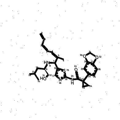 C=C/C=C\C=C(\C)C(N[C@@H](CO)CC(C)C)c1cnc(NC(=O)C2(c3ccc4c(c3)OCO4)CC2)s1